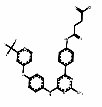 Nc1nc(Nc2ccc(Oc3ccnc(C(F)(F)F)c3)cc2)cc(-c2ccc(NC(=O)CCC(=O)O)cc2)n1